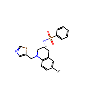 [C-]#[N+]c1ccc2c(c1)C[C@@H](NS(=O)(=O)c1ccccc1)CN2Cc1cncs1